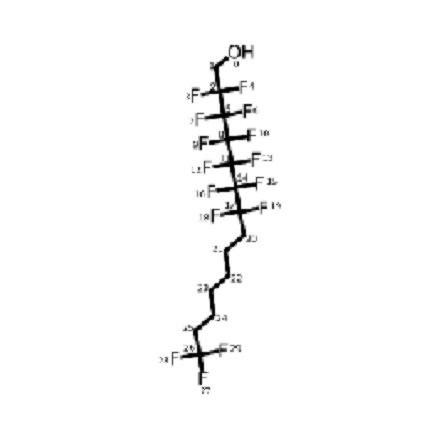 OCC(F)(F)C(F)(F)C(F)(F)C(F)(F)C(F)(F)C(F)(F)CCCCCCC(F)(F)F